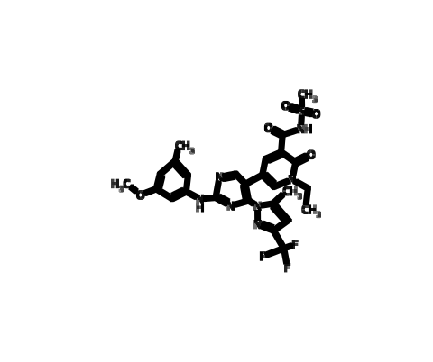 CCn1cc(-c2cnc(Nc3cc(C)cc(OC)c3)nc2-n2nc(C(F)(F)F)cc2C)cc(C(=O)NS(C)(=O)=O)c1=O